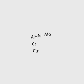 [AlH3].[Cr].[Cu].[Mo].[Ni]